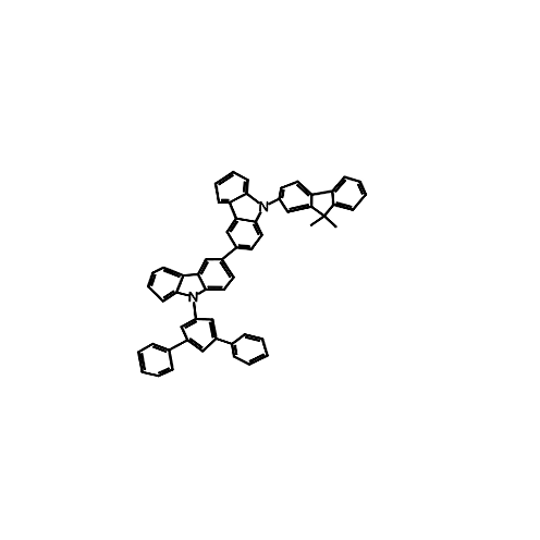 CC1(C)c2ccccc2-c2ccc(-n3c4ccccc4c4cc(-c5ccc6c(c5)c5ccccc5n6-c5cc(-c6ccccc6)cc(-c6ccccc6)c5)ccc43)cc21